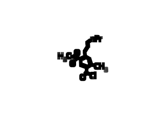 CCC/C=C/Cc1cc(C)c(C(=O)Cl)cc1S(C)(=O)=O